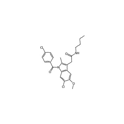 CCCCNC(=O)Cc1c(C)n(C(=O)c2ccc(Cl)cc2)c2cc(Cl)c(OC)cc12